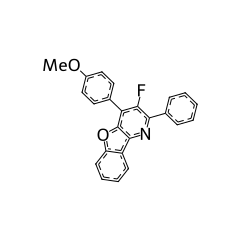 COc1ccc(-c2c(F)c(-c3ccccc3)nc3c2oc2ccccc23)cc1